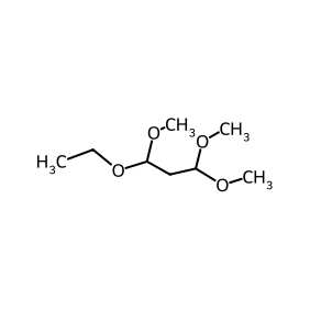 CCOC(CC(OC)OC)OC